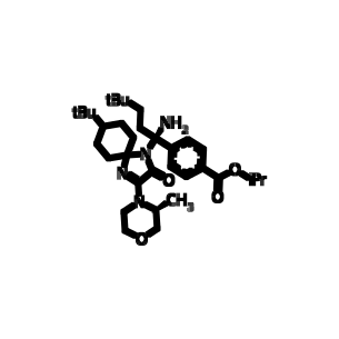 CC(C)OC(=O)c1ccc([C@@](N)(CCC(C)(C)C)N2C(=O)C(N3CCOC[C@@H]3C)=NC23CCC(C(C)(C)C)CC3)cc1